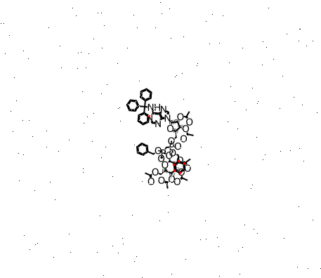 CC(=O)OC[C@H]1OC(OP(=O)(CP(=O)(OCc2ccccc2)OC[C@H]2O[C@@H](n3cnc4c(NC(c5ccccc5)(c5ccccc5)c5ccccc5)ncnc43)[C@H](OC(C)=O)[C@@H]2OC(C)=O)OCc2ccccc2)[C@@H](OC(C)=O)[C@@H](OC(C)=O)[C@@H]1OC(C)=O